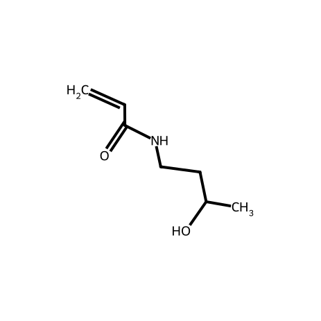 C=CC(=O)NCCC(C)O